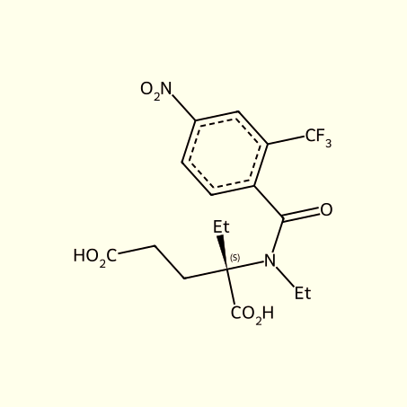 CCN(C(=O)c1ccc([N+](=O)[O-])cc1C(F)(F)F)[C@@](CC)(CCC(=O)O)C(=O)O